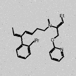 C/C=C(\C=C\CCN(C)/C(=C\CC)COc1ccccn1)c1ccccc1C(C)C